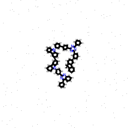 CC1(C)c2ccccc2-c2cc(-c3cccc(-c4nc(-c5ccccc5)nc(-c5ccc(-c6cccc(-n7c8ccccc8c8cc(-c9ccc%10c(c9)c9ccccc9n%10C9=CCC(c%10nc(-c%11ccccc%11)c%11ccccc%11n%10)C=C9)ccc87)c6)cc5)n4)c3)ccc21